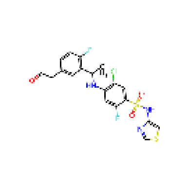 CC(Nc1cc(F)c(S(=O)(=O)Nc2cscn2)cc1Cl)c1cc(CC=O)ccc1F